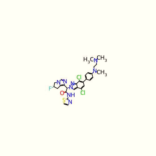 CN(C)CCN(C)c1ccc(-c2cc(Cl)c3cn([C@@H](C(=O)Nc4nccs4)c4ncn5c4C[C@@H](F)C5)nc3c2Cl)cc1